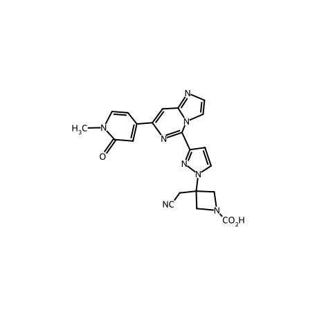 Cn1ccc(-c2cc3nccn3c(-c3ccn(C4(CC#N)CN(C(=O)O)C4)n3)n2)cc1=O